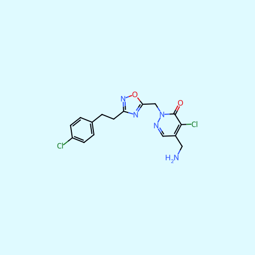 NCc1cnn(Cc2nc(CCc3ccc(Cl)cc3)no2)c(=O)c1Cl